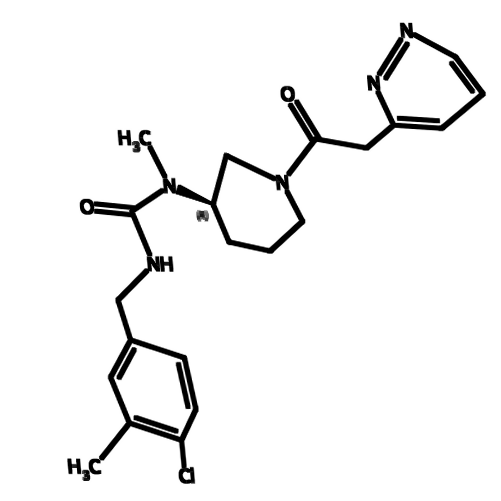 Cc1cc(CNC(=O)N(C)[C@@H]2CCCN(C(=O)Cc3cccnn3)C2)ccc1Cl